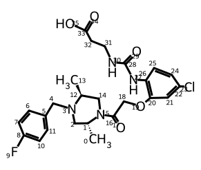 C[C@@H]1CN(Cc2ccc(F)cc2)[C@@H](C)CN1C(=O)COc1cc(Cl)ccc1NC(=O)NCCC(=O)O